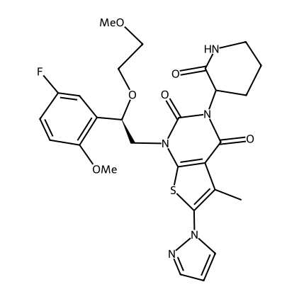 COCCO[C@@H](Cn1c(=O)n(C2CCCNC2=O)c(=O)c2c(C)c(-n3cccn3)sc21)c1cc(F)ccc1OC